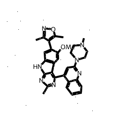 COc1cc2c(cc1-c1c(C)noc1C)[nH]c1nc(C)nc(-c3cc(N4CCN(C)CC4)nc4ccccc34)c12